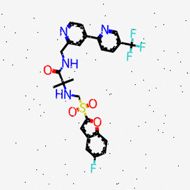 CC(C)(NCS(=O)(=O)c1cc2cc(F)ccc2o1)C(=O)NCc1cc(-c2ccc(C(F)(F)F)cn2)ccn1